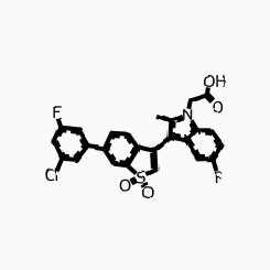 Cc1c(C2=CS(=O)(=O)c3cc(-c4cc(F)cc(Cl)c4)ccc32)c2cc(F)ccc2n1CC(=O)O